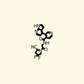 N#CC1CC(F)(F)CN1C(=O)CNC(=O)c1ccncc1-c1ccnc2[nH]ccc12